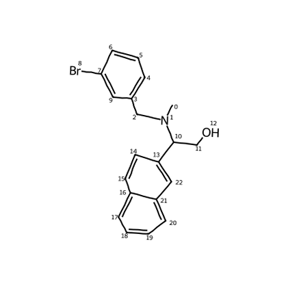 CN(Cc1cccc(Br)c1)C(CO)c1ccc2ccccc2c1